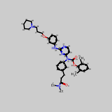 CCN(CC)C(=O)CCc1cccc(N(C(=O)Oc2c(C)cccc2C)c2ccnc(Nc3cccc(OCCCN4CCCCC4)c3)n2)c1